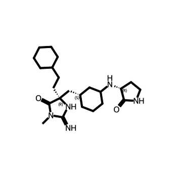 CN1C(=N)N[C@](CCC2CCCCC2)(C[C@H]2CCCC(N[C@@H]3CCNC3=O)C2)C1=O